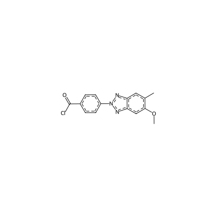 COc1cc2nn(-c3ccc(C(=O)Cl)cc3)nc2cc1C